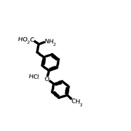 Cc1ccc(Oc2cccc(CC(N)C(=O)O)c2)cc1.Cl